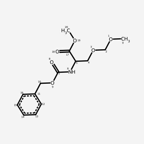 COCOCC(NC(=O)OCc1ccccc1)C(=O)OC